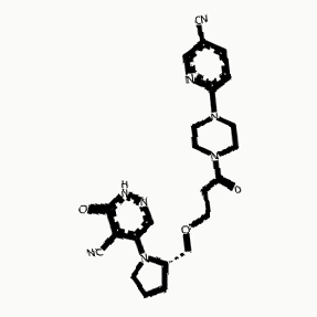 N#Cc1ccc(N2CCN(C(=O)CCOC[C@@H]3CCCN3c3cn[nH]c(=O)c3C#N)CC2)nc1